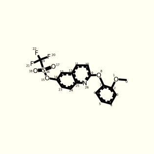 COc1ccccc1Oc1ccc2cc(OS(=O)(=O)C(F)(F)F)ccc2n1